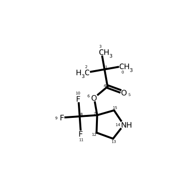 CC(C)(C)C(=O)OC1(C(F)(F)F)CCNC1